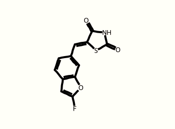 O=C1NC(=O)C(=Cc2ccc3cc(F)oc3c2)S1